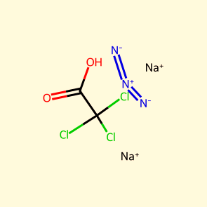 O=C(O)C(Cl)(Cl)Cl.[N-]=[N+]=[N-].[Na+].[Na+]